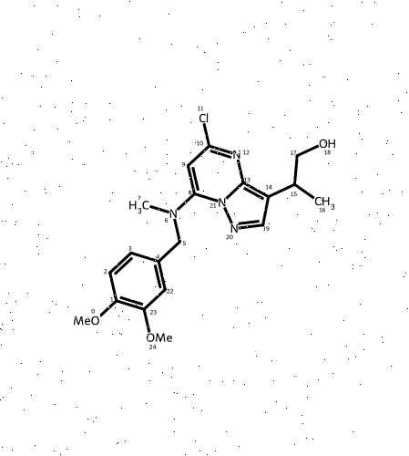 COc1ccc(CN(C)c2cc(Cl)nc3c(C(C)CO)cnn23)cc1OC